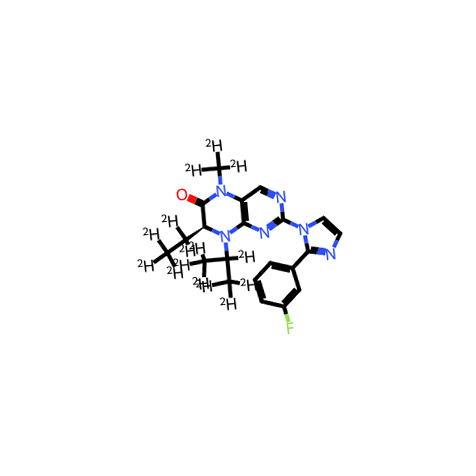 [2H]C([2H])([2H])N1C(=O)[C@H](C([2H])([2H])C([2H])([2H])[2H])N(C([2H])(C([2H])([2H])[2H])C([2H])([2H])[2H])c2nc(-n3ccnc3-c3cccc(F)c3)ncc21